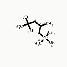 CCC(C)(CC)CC(C)C[Si](C)(C)O